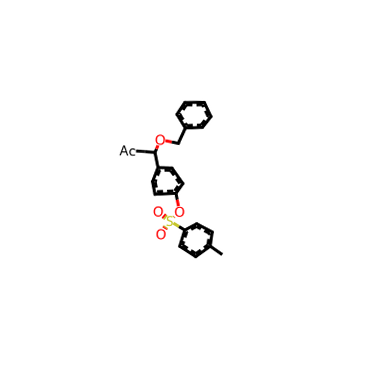 CC(=O)C(OCc1ccccc1)c1ccc(OS(=O)(=O)c2ccc(C)cc2)cc1